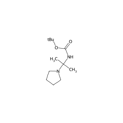 CC(C)(C)OC(=O)NC(C)(C)N1CCCC1